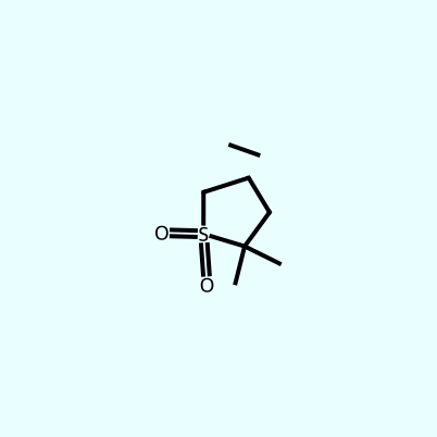 CC.CC1(C)CCCS1(=O)=O